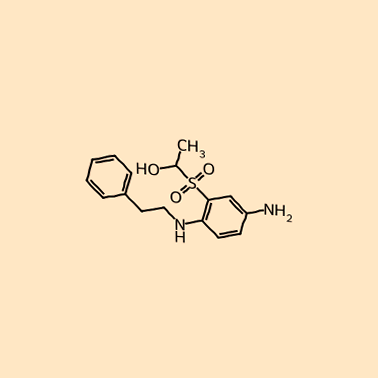 CC(O)S(=O)(=O)c1cc(N)ccc1NCCc1ccccc1